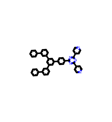 c1ccc(-c2cccc(-c3cc(-c4ccc(-c5nc(-c6ccncc6)nc(-c6ccncc6)n5)cc4)cc(-c4cccc(-c5ccccc5)c4)c3)c2)cc1